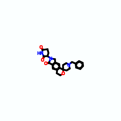 O=C1CCC(N2Cc3cc4c(cc3C2=O)CCOC42CCN(Cc3ccccc3)CC2)C(=O)N1